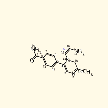 CC1=NC=C(c2ccc(C(N)=O)cc2)N(/C=C\N)C1